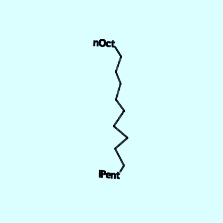 [CH2]CCCCCCCCCCCCCCCCC(C)CCC